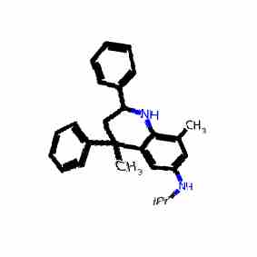 Cc1cc(NC(C)C)cc2c1NC(c1ccccc1)CC2(C)c1ccccc1